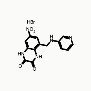 Br.O=c1[nH]c2cc([N+](=O)[O-])cc(CNc3cccnc3)c2[nH]c1=O